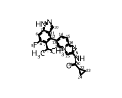 CC(C)c1c(F)cc2[nH]ncc2c1-c1ccc2nc(NC(=O)C3CC3)cn2c1